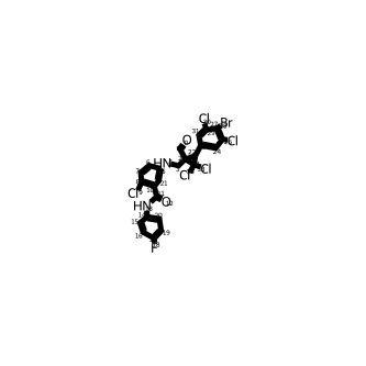 O=CC1(CNc2ccc(Cl)c(C(=O)Nc3ccc(F)cc3)c2)C(c2cc(Cl)c(Br)c(Cl)c2)C1(Cl)Cl